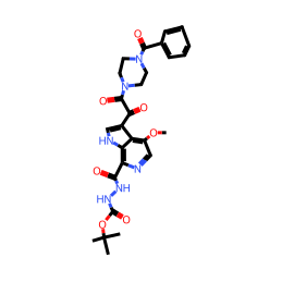 COc1cnc(C(=O)NNC(=O)OC(C)(C)C)c2[nH]cc(C(=O)C(=O)N3CCN(C(=O)c4ccccc4)CC3)c12